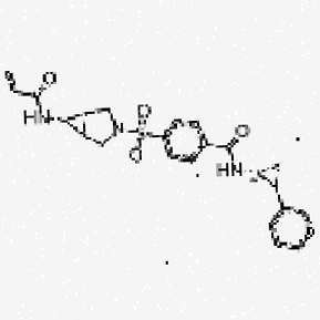 C=CC(=O)NC1C2CN(S(=O)(=O)c3ccc(C(=O)N[C@@H]4CC4c4ccccc4)cc3)CC21